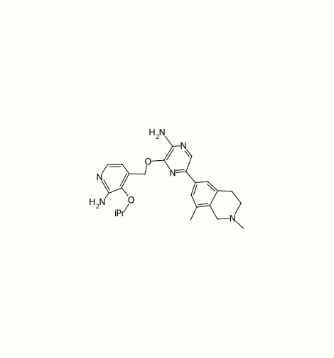 Cc1cc(-c2cnc(N)c(OCc3ccnc(N)c3OC(C)C)n2)cc2c1CN(C)CC2